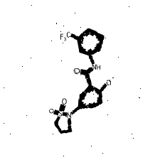 O=C(Nc1cccc(C(F)(F)F)c1)c1cc(N2CCCS2(=O)=O)ccc1Cl